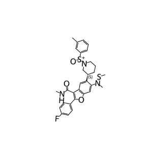 CNC(=O)c1c(-c2ccc(F)cc2)oc2cc(N(C)SC)c([C@@H]3CCCN([S+]([O-])c4cccc(C)c4)C3)cc12